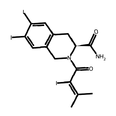 CC(C)=C(I)C(=O)N1Cc2cc(I)c(I)cc2C[C@H]1C(N)=O